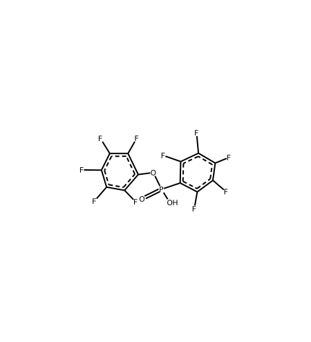 O=P(O)(Oc1c(F)c(F)c(F)c(F)c1F)c1c(F)c(F)c(F)c(F)c1F